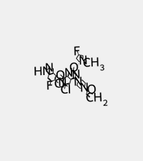 C=CC(=O)N1CCN(c2nc(OC[C@@H]3C[C@@H](F)CN3C)nc3c(Oc4c(Cl)c(F)cc5[nH]ncc45)nc(Cl)cc23)CC1